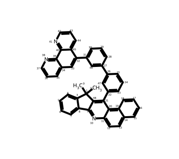 CC1(C)c2ccccc2-c2nc3ccc4ccccc4c3c(-c3cccc(-c4cccc(-c5cc6cccnc6c6ncccc56)c4)c3)c21